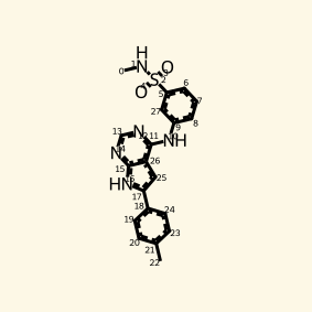 CNS(=O)(=O)c1cccc(Nc2ncnc3[nH]c(-c4ccc(C)cc4)cc23)c1